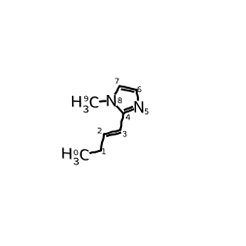 CC/C=C/c1nccn1C